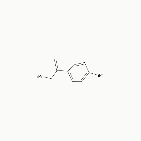 C=C(CC(C)C)c1ccc(C(C)C)cc1